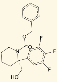 O=C(OCc1ccccc1)N1CCCC[C@]1(CO)c1cc(F)c(F)c(F)c1